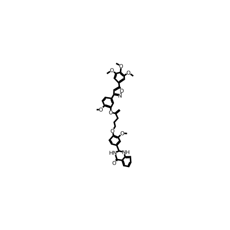 C=C(CCCOc1ccc(C2NC(=O)c3ccccc3N2)cc1OC)Oc1cc(-c2cc(-c3cc(OC)c(OC)c(OC)c3)on2)ccc1OC